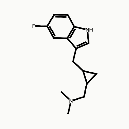 CN(C)CC1CC1Cc1c[nH]c2ccc(F)cc12